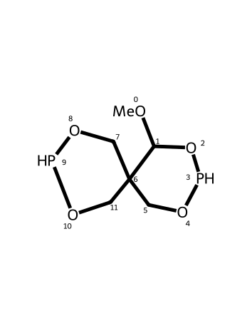 COC1OPOCC12COPOC2